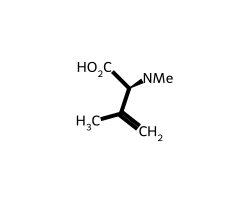 C=C(C)[C@H](NC)C(=O)O